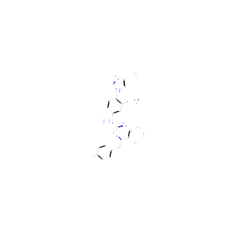 COc1cc(Nc2nc3c(c(Cc4ccc(F)cc4)n2)CSCC3)ccc1-n1cnc(C)c1